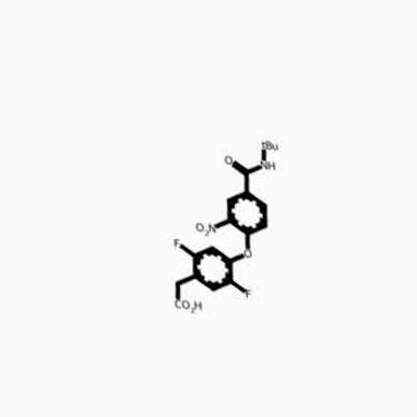 CC(C)(C)NC(=O)c1ccc(Oc2cc(F)c(CC(=O)O)cc2F)c([N+](=O)[O-])c1